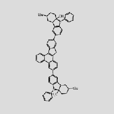 CC(C)(C)C1CCC2(C)C(C1)c1cc(-c3ccc4c(c3)Cc3c-4c4ccccc4c4cc(-c5ccc6c(c5)C5CC(C(C)(C)C)CCC5(C)N6c5ccccc5)ccc34)ccc1N2c1ccccc1